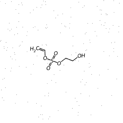 C=COS(=O)(=O)OCCO